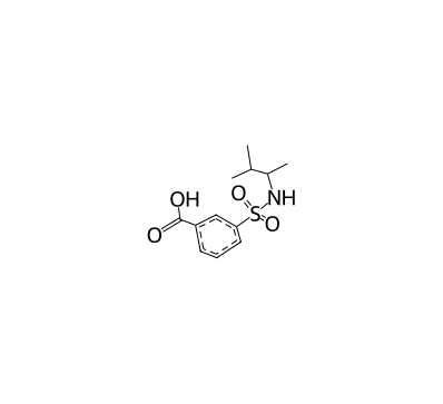 CC(C)C(C)NS(=O)(=O)c1cccc(C(=O)O)c1